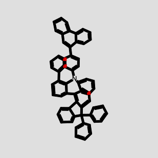 c1ccc(-c2cccc(-c3cccc4c3-c3ccccc3C4(c3ccccc3)c3ccccc3)c2N(c2ccccc2)c2ccc(-c3cc4ccccc4c4ccccc34)cc2)cc1